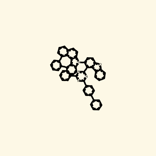 c1ccc(-c2ccc(-c3nc(-c4ccccc4)nc(-c4c(-n5c6cccc7c6c6c8c(cccc8ccc65)-c5ccccc5-7)ccc5oc6ccccc6c45)n3)cc2)cc1